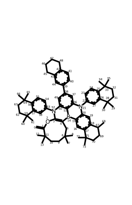 C=C1OC2=C(CC(C)(C)CCC1(C)C)B1c3cc4c(cc3N(c3ccc5c(c3)C(C)(C)CCC5(C)C)c3cc(-c5ccc6c(c5)CCCC6)cc(c31)N2c1ccc2c(c1)C(C)(C)CCC2(C)C)C(C)CCC4(C)C